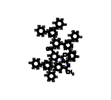 C=C(/N=C(\N=C(/C)c1cc(C(=O)c2cc(-c3nc(-c4ccccc4)nc(-c4ccccc4)n3)cc(-c3nc(-c4ccccc4)nc(-c4ccccc4)n3)c2)cc(-c2nc(-c3ccccc3)nc(-c3ccccc3)n2)c1)c1ccccc1)c1ccccc1